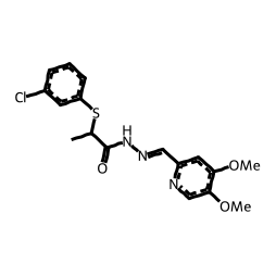 COc1cnc(/C=N/NC(=O)C(C)Sc2cccc(Cl)c2)cc1OC